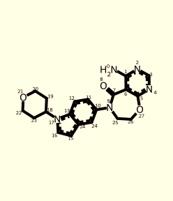 Nc1ncnc2c1C(=O)N(c1ccc3c(ccn3C3CCOCC3)c1)CCO2